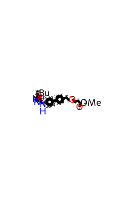 COC(=O)CCOCCc1ccc(-c2ccc(Nc3nnc(C(C)(C)C)o3)cc2)cc1